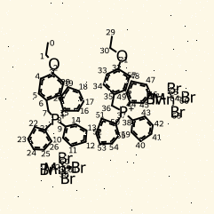 CCOc1ccc(C[P+](c2ccccc2)(c2ccccc2)c2ccccc2)cc1.CCOc1ccc(C[P+](c2ccccc2)(c2ccccc2)c2ccccc2)cc1.[Br][Mn-]([Br])([Br])[Br].[Br][Mn-]([Br])([Br])[Br]